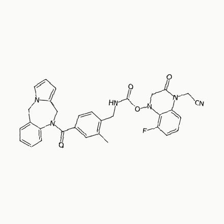 Cc1cc(C(=O)N2Cc3cccn3Cc3ccccc32)ccc1CNC(=O)ON1CC(=O)N(CC#N)c2cccc(F)c21